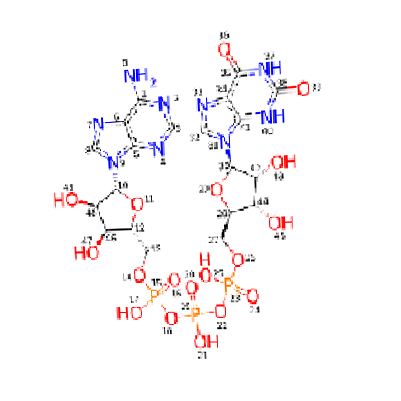 Nc1ncnc2c1ncn2[C@@H]1O[C@H](COP(=O)(O)OP(=O)(O)OP(=O)(O)OC[C@H]2O[C@@H](n3cnc4c(=O)[nH]c(=O)[nH]c43)[C@H](O)[C@@H]2O)[C@@H](O)[C@H]1O